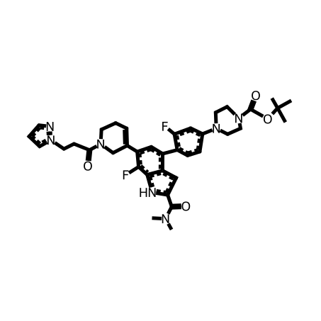 CN(C)C(=O)c1cc2c(-c3ccc(N4CCN(C(=O)OC(C)(C)C)CC4)cc3F)cc(C3=CCCN(C(=O)CCn4cccn4)C3)c(F)c2[nH]1